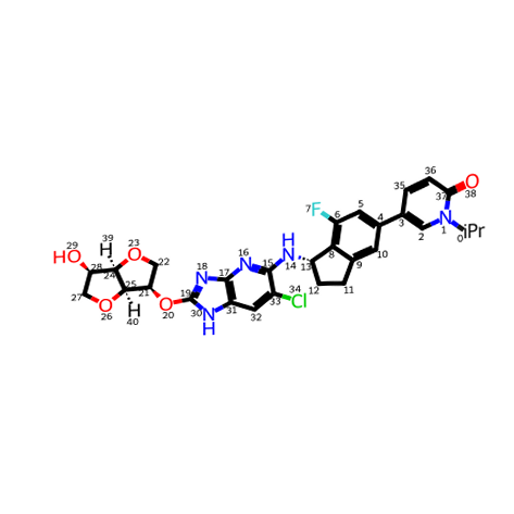 CC(C)n1cc(-c2cc(F)c3c(c2)CC[C@@H]3Nc2nc3nc(O[C@@H]4CO[C@H]5[C@@H]4OC[C@H]5O)[nH]c3cc2Cl)ccc1=O